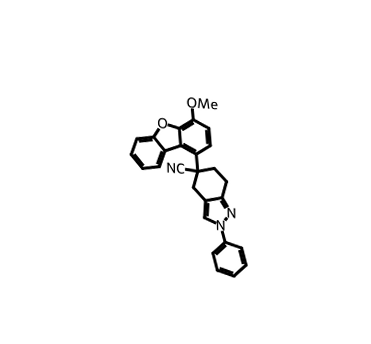 COc1ccc(C2(C#N)CCc3nn(-c4ccccc4)cc3C2)c2c1oc1ccccc12